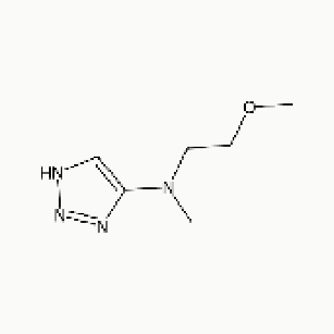 COCCN(C)c1c[nH]nn1